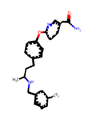 CC(CCc1ccc(Oc2ccc(C(N)=O)cn2)cc1)NCc1cccc(C(F)(F)F)c1